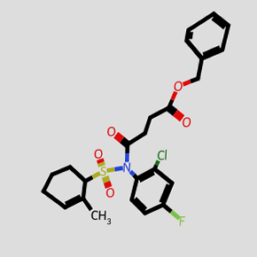 CC1=CCCCC1S(=O)(=O)N(C(=O)CCC(=O)OCc1ccccc1)c1ccc(F)cc1Cl